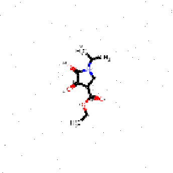 CCOC(=O)C1CN(C(C)C)C(=O)C1=O